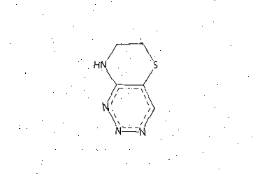 c1nnnc2c1SCCN2